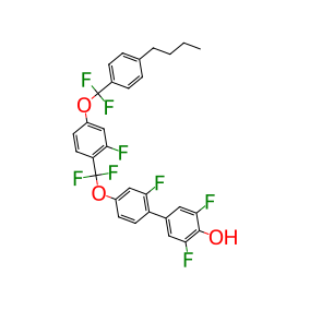 CCCCc1ccc(C(F)(F)Oc2ccc(C(F)(F)Oc3ccc(-c4cc(F)c(O)c(F)c4)c(F)c3)c(F)c2)cc1